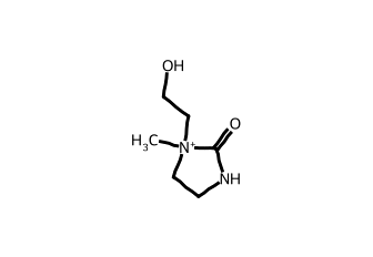 C[N+]1(CCO)CCNC1=O